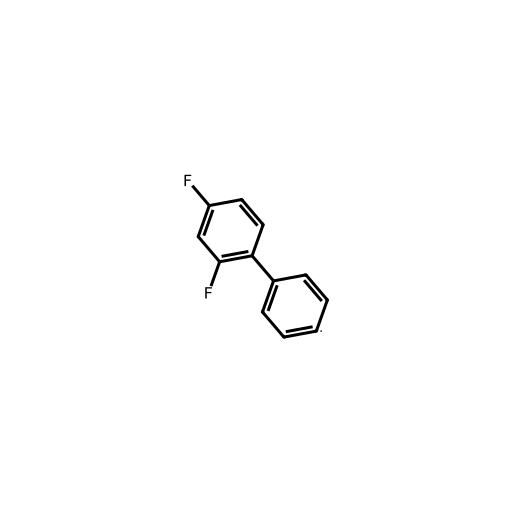 Fc1ccc(-c2cc[c]cc2)c(F)c1